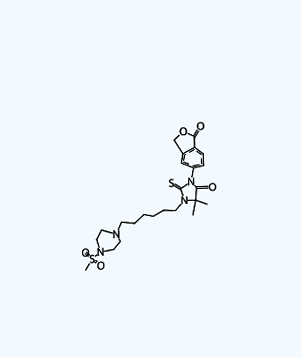 CC1(C)C(=O)N(c2ccc3c(c2)COC3=O)C(=S)N1CCCCCCN1CCN(S(C)(=O)=O)CC1